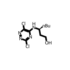 CCCC[C@@H](CCO)Nc1nc(Cl)nnc1Cl